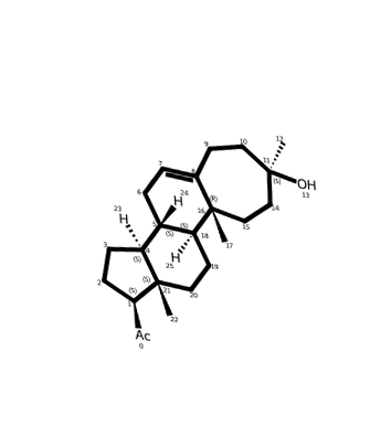 CC(=O)[C@H]1CC[C@H]2[C@@H]3CC=C4CC[C@@](C)(O)CC[C@]4(C)[C@H]3CC[C@]12C